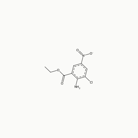 CCOC(=O)c1cc([N+](=O)[O-])cc(Cl)c1N